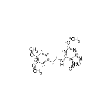 COc1nc(NCCc2ccc(OC)c(OC)c2)c2c(no[n+]2[O-])n1